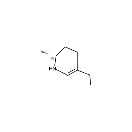 CCC1=CN[C@H](C)CC1